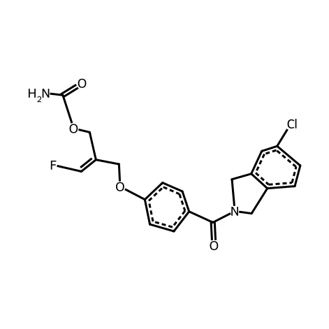 NC(=O)OCC(=CF)COc1ccc(C(=O)N2Cc3ccc(Cl)cc3C2)cc1